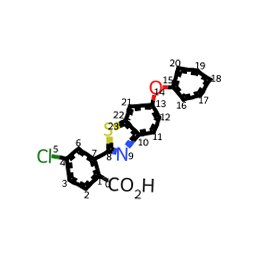 O=C(O)c1ccc(Cl)cc1-c1nc2ccc(Oc3ccccc3)cc2s1